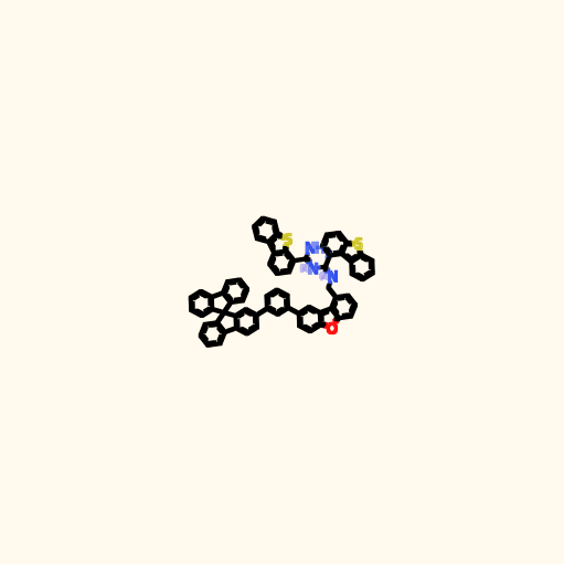 N/C(=N\C(=N/Cc1cccc2oc3ccc(-c4cccc(-c5ccc6c(c5)C5(c7ccccc7-c7ccccc75)c5ccccc5-6)c4)cc3c12)c1cccc2sc3ccccc3c12)c1cccc2c1sc1ccccc12